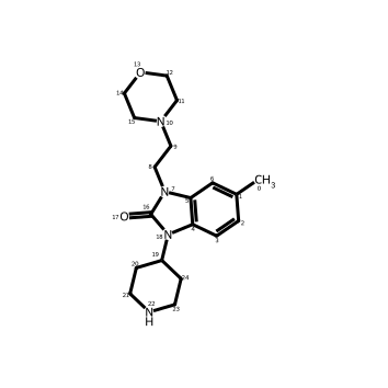 Cc1ccc2c(c1)n(CCN1CCOCC1)c(=O)n2C1CCNCC1